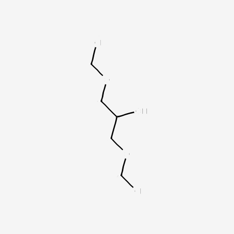 OC(COCC(F)(F)F)COCC(F)(F)F